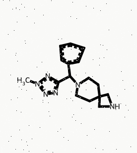 Cn1nnc(C(c2ccccc2)N2CCC3(CC2)CNC3)n1